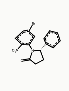 O=C1CC[C@@H](c2ccccc2)N1c1cc(Br)ccc1[N+](=O)[O-]